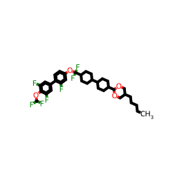 CCCCCC1COC(C2CCC(C3CCC(C(F)(F)Oc4ccc(-c5cc(F)c(OC(F)F)c(F)c5)c(F)c4)CC3)CC2)OC1